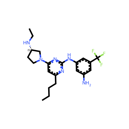 CCCCc1cc(N2CC[C@H](NCC)C2)nc(Nc2cc(N)cc(C(F)(F)F)c2)n1